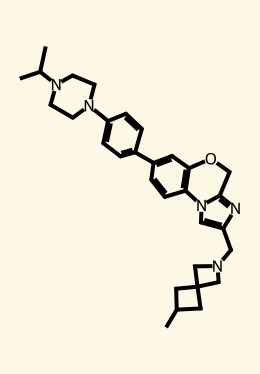 CC1CC2(C1)CN(Cc1cn3c(n1)COc1cc(-c4ccc(N5CCN(C(C)C)CC5)cc4)ccc1-3)C2